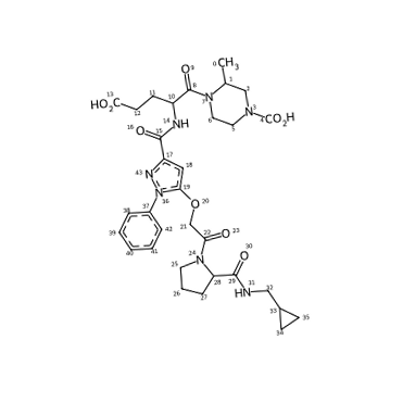 CC1CN(C(=O)O)CCN1C(=O)C(CCC(=O)O)NC(=O)c1cc(OCC(=O)N2CCCC2C(=O)NCC2CC2)n(-c2ccccc2)n1